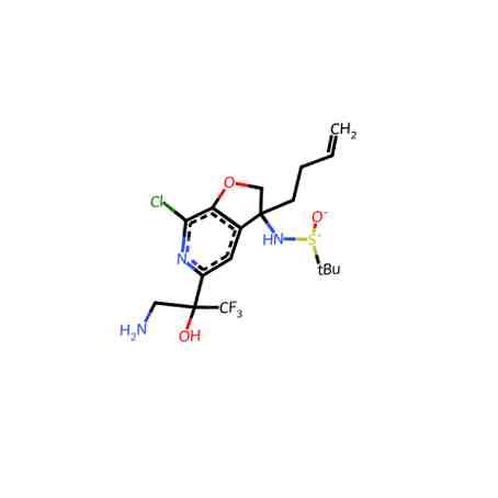 C=CCCC1(N[S+]([O-])C(C)(C)C)COc2c1cc(C(O)(CN)C(F)(F)F)nc2Cl